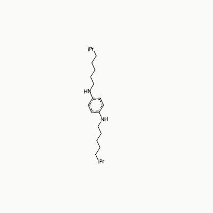 CC(C)CCCCCNc1ccc(NCCCCCC(C)C)cc1